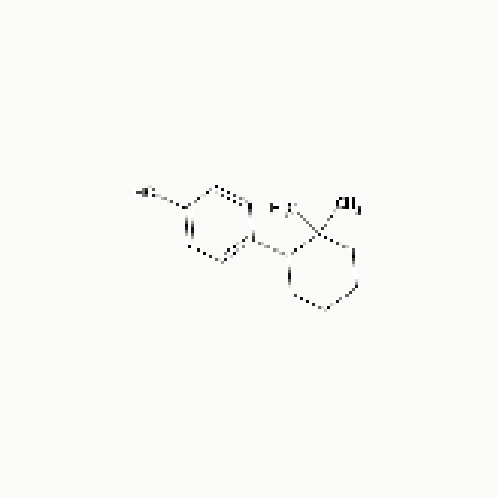 CC1(C)CCCCC1c1ccc(O)cc1